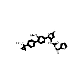 COc1cc(-c2sc(Cl)cc2NC(=O)O[C@H](C)c2cccs2)ccc1-c1ccc(C2(C(=O)O)CC2)cc1